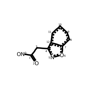 O=NC(=O)Cc1noc2ccccc12